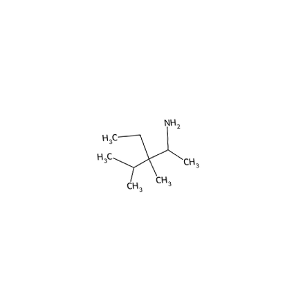 CCC(C)(C(C)C)C(C)N